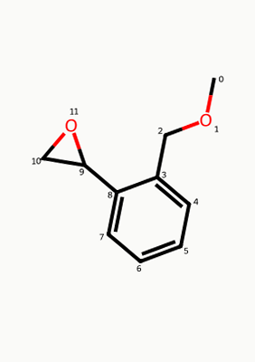 COCc1ccccc1C1CO1